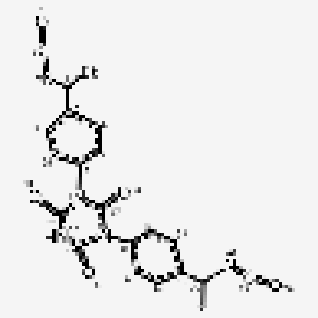 CCC(N=C=O)c1ccc(-n2c(=O)[nH]c(=O)n(-c3ccc(C(C)N=C=O)cc3)c2=O)cc1